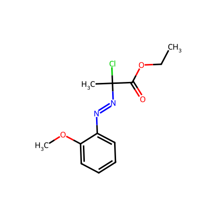 CCOC(=O)C(C)(Cl)N=Nc1ccccc1OC